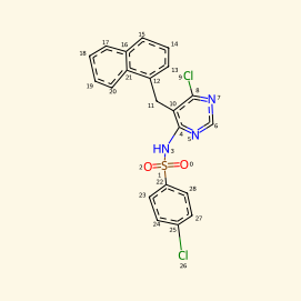 O=S(=O)(Nc1ncnc(Cl)c1Cc1cccc2ccccc12)c1ccc(Cl)cc1